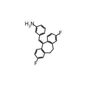 Nc1cccc(C=C2c3ccc(F)cc3CCc3cc(F)ccc32)c1